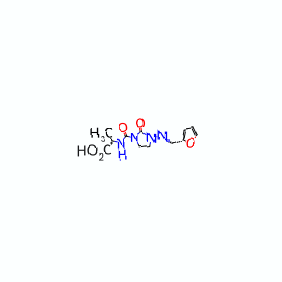 C[C@@H](NC(=O)N1CCN(N=Cc2ccco2)C1=O)C(=O)O